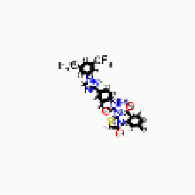 CCOCc1ccc(C)cc1N1C(=O)CS/C1=N\C(=O)Nc1ccc(-c2ncn(-c3cc(C(F)(F)F)cc(C(F)(F)F)c3)n2)cc1C